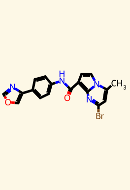 Cc1cc(Br)nc2c(C(=O)Nc3ccc(-c4cocn4)cc3)ccn12